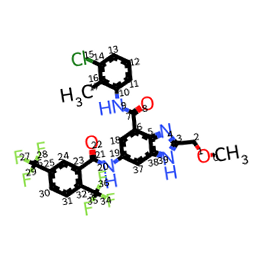 COCc1nc2c(C(=O)Nc3cccc(Cl)c3C)cc(NC(=O)c3cc(C(F)(F)F)ccc3C(F)(F)F)cc2[nH]1